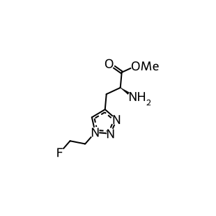 COC(=O)[C@@H](N)Cc1cn(CCF)nn1